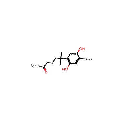 COC(=O)CCCC(C)(C)c1cc(O)c(C(C)(C)C)cc1O